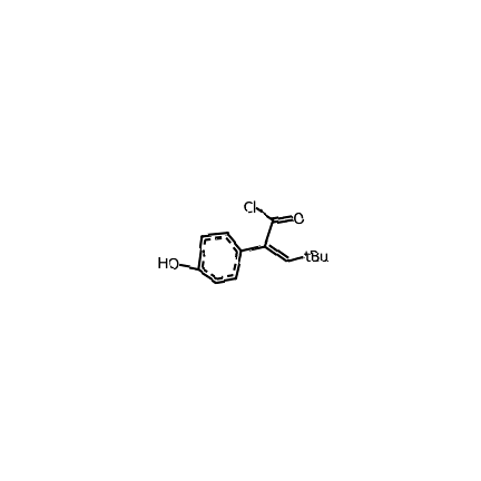 CC(C)(C)C=C(C(=O)Cl)c1ccc(O)cc1